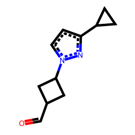 O=CC1CC(n2ccc(C3CC3)n2)C1